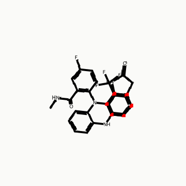 CNC(=O)c1cc(F)ccc1N(c1ccccc1Nc1ccc2c(c1)NC(=O)C2)c1ccncc1C(F)(F)F